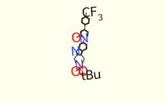 Cn1c2c(c3ccc(-n4ccc(-c5ccc(C(F)(F)F)cc5)cc4=O)cc31)CCN(C(=O)OC(C)(C)C)CC2